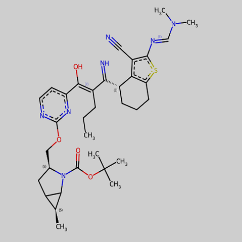 CCC/C(C(=N)[C@H]1CCCc2sc(/N=C/N(C)C)c(C#N)c21)=C(/O)c1ccnc(OC[C@@H]2CC3C([C@H]3C)N2C(=O)OC(C)(C)C)n1